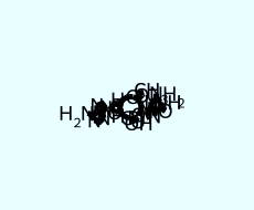 COC1C[C@H](n2cnc3c(=O)[nH]c(N)nc32)OP(=O)(O)OC[C@H]2O[C@@H](n3cnc4c(N)ncnc43)C[C@@H]2CCO1